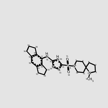 CN1CCCC12CCN(S(=O)(=O)c1nnc(Nc3c4c(cc5c3CCC5)CCC4)[nH]1)CC2